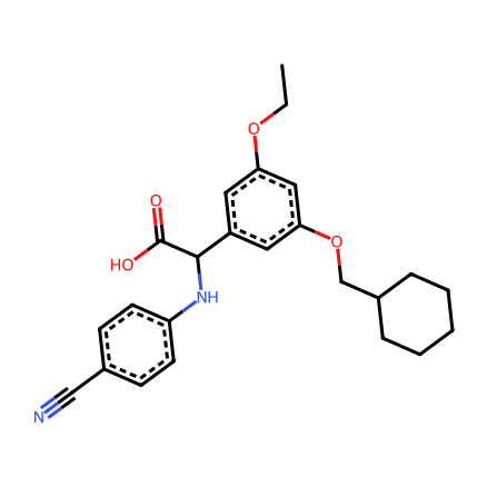 CCOc1cc(OCC2CCCCC2)cc(C(Nc2ccc(C#N)cc2)C(=O)O)c1